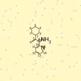 C=C(C1CCCCC1)[C@H](N)c1ccccn1